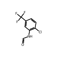 O=[C]Nc1cc(C(F)(F)F)ccc1Cl